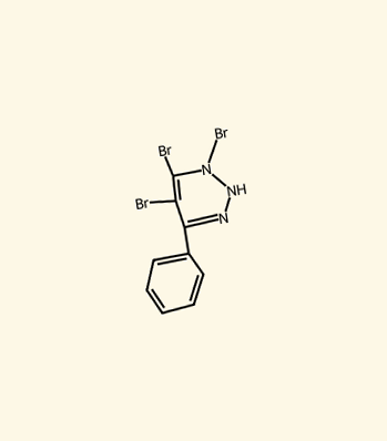 BrC1=C(Br)N(Br)NN=C1c1ccccc1